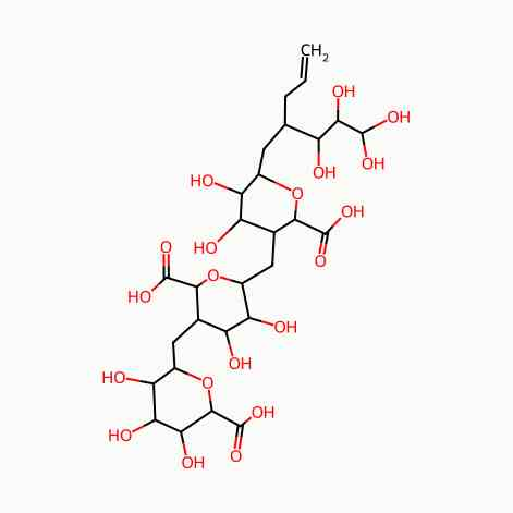 C=CCC(CC1OC(C(=O)O)C(CC2OC(C(=O)O)C(CC3OC(C(=O)O)C(O)C(O)C3O)C(O)C2O)C(O)C1O)C(O)C(O)C(O)O